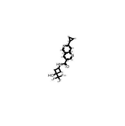 O=C(NC1CC(O)(C(F)(F)F)C1)c1cnc2cc(C3CC3)ncc2c1